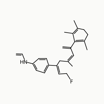 C=CNc1ccc(/C(=C/CF)C/C(C)=C\C(=C)C2=C(C)CCC(C)=C2C)cc1